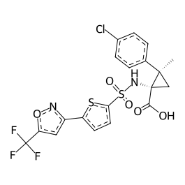 C[C@]1(c2ccc(Cl)cc2)C[C@@]1(NS(=O)(=O)c1ccc(-c2cc(C(F)(F)F)on2)s1)C(=O)O